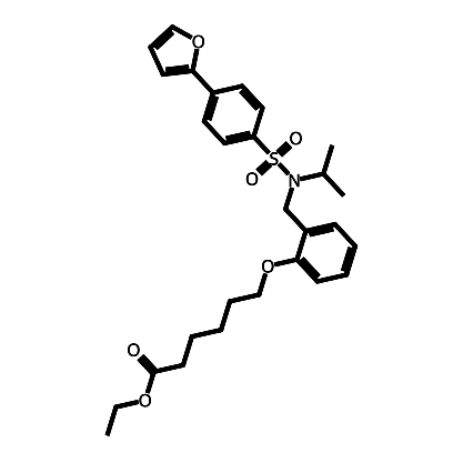 CCOC(=O)CCCCCOc1ccccc1CN(C(C)C)S(=O)(=O)c1ccc(-c2ccco2)cc1